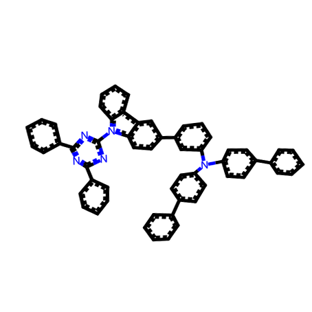 c1ccc(-c2ccc(N(c3ccc(-c4ccccc4)cc3)c3cccc(-c4ccc5c(c4)c4ccccc4n5-c4nc(-c5ccccc5)nc(-c5ccccc5)n4)c3)cc2)cc1